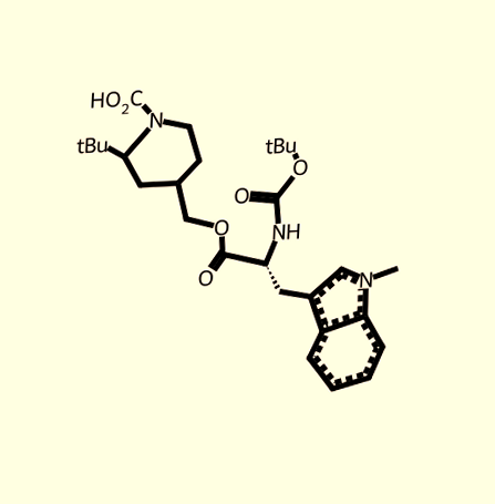 Cn1cc(C[C@@H](NC(=O)OC(C)(C)C)C(=O)OCC2CCN(C(=O)O)C(C(C)(C)C)C2)c2ccccc21